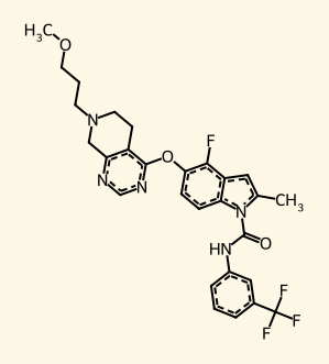 COCCCN1CCc2c(ncnc2Oc2ccc3c(cc(C)n3C(=O)Nc3cccc(C(F)(F)F)c3)c2F)C1